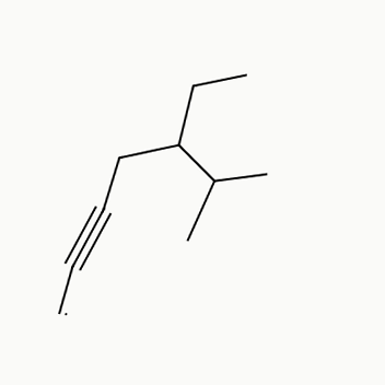 [CH2]C#CCC(CC)C(C)C